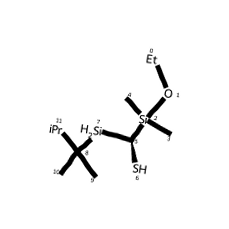 CCO[Si](C)(C)[C@@H](S)[SiH2]C(C)(C)C(C)C